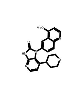 COc1ccnc2ccc(-n3c(=O)[nH]c4nccc(C5CCOCC5)c43)cc12